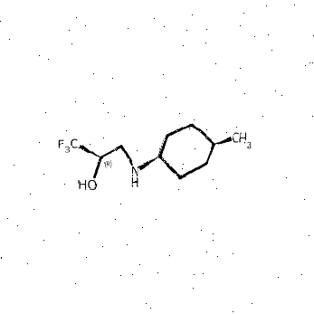 C[C@H]1CC[C@@H](NC[C@@H](O)C(F)(F)F)CC1